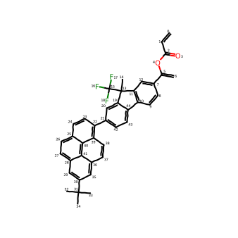 C=CC(=O)OC(=C)c1ccc2c(c1)C(C)(C(F)(F)F)c1cc(-c3ccc4ccc5cc(C(C)(C)C)cc6ccc3c4c56)ccc1-2